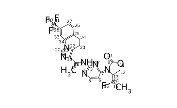 C[C@H](Nc1nccc(N2C(=O)OCC2[C@H](C)F)n1)c1ncn2c1CCc1ccc(C(F)(F)F)cc1-2